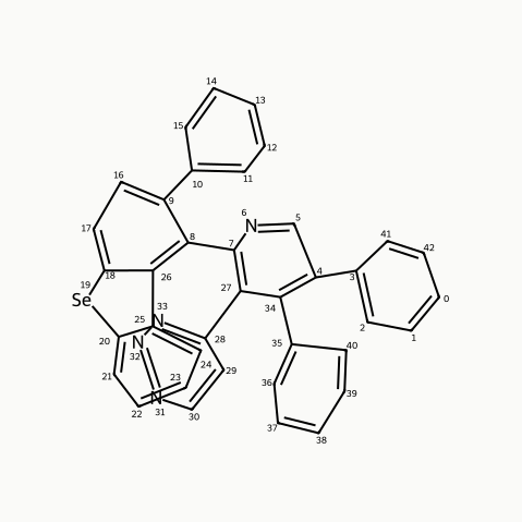 c1ccc(-c2cnc(-c3c(-c4ccccc4)ccc4[se]c5ccccc5c34)c(-c3ccnnn3)c2-c2ccccc2)cc1